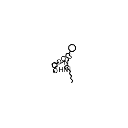 CCCCCCN1CC(N(CC2CCC(C3CCCCCCC3)S2)C(=O)COc2cccc(OC)c2)CN1